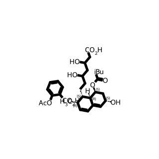 CC(=O)Oc1ccccc1C(=O)O.CCC(C)C(=O)O[C@H]1C[C@H](O)C=C2C=C[C@H](C)[C@H](CCC(O)CC(O)CC(=O)O)[C@H]21